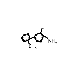 Cc1ccccc1-c1ccc(CN)c(F)c1